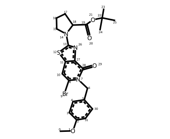 COc1ccc(Cn2c(Br)cc3sc(N4CCCC4C(=O)OC(C)(C)C)nc3c2=O)cc1